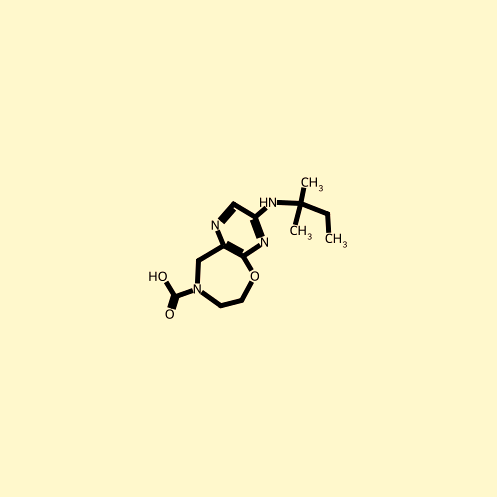 CCC(C)(C)Nc1cnc2c(n1)OCCN(C(=O)O)C2